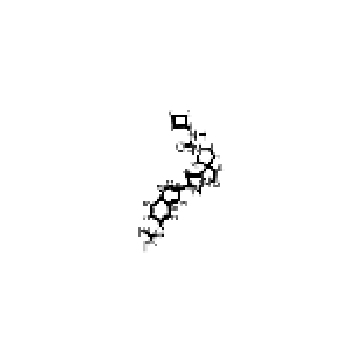 O=C(NC1CCC1)N1CCC2(CCn3nc(-c4cnc5ccc(OC(F)F)cc5c4)cc32)C1